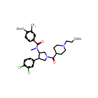 COCCN1CCC(C(=O)N2CC(c3ccc(Cl)c(Cl)c3)C(N(C)C(=O)c3ccc(OC)c(C(F)(F)F)c3)C2)CC1